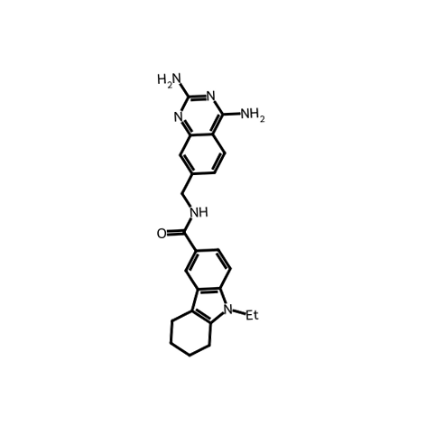 CCn1c2c(c3cc(C(=O)NCc4ccc5c(N)nc(N)nc5c4)ccc31)CCCC2